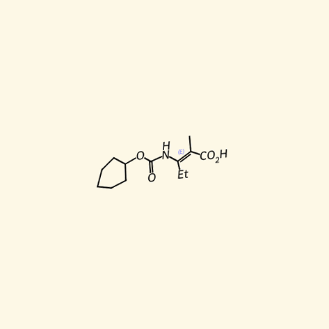 CC/C(NC(=O)OC1CCCCC1)=C(/C)C(=O)O